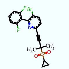 CC(C)(C#Cc1ccc(Br)c(-c2c(F)c[c]cc2F)n1)S(=O)(=O)C1CC1